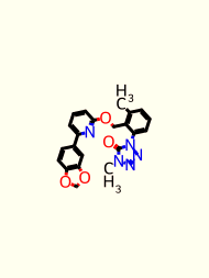 Cc1cccc(-n2nnn(C)c2=O)c1COc1cccc(-c2ccc3c(c2)OCO3)n1